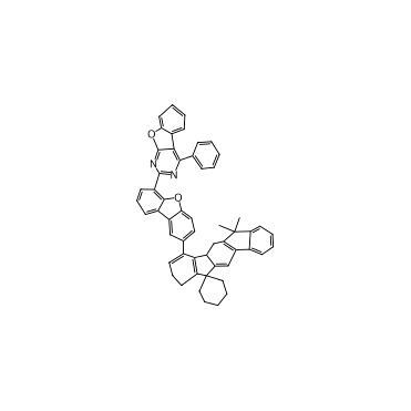 CC1(C)C2=C(C=C3C(C2)C2=C(CCC=C2c2ccc4oc5c(-c6nc(-c7ccccc7)c7c(n6)oc6ccccc67)cccc5c4c2)C32CCCCC2)c2ccccc21